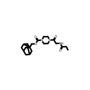 CCC(=O)NCC(=O)N1CCN(C(=O)OCC23CC4CC(CC(C4)C2)C3)CC1